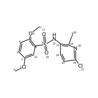 COc1ccc(OC)c(S(=O)(=O)Nc2ccc(Cl)nc2I)c1